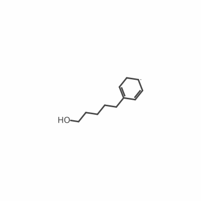 OCCCCCC1=CC[CH]C=C1